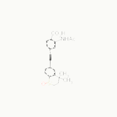 CC(=O)Nc1cc(C#Cc2ccc3c(c2)C(C)(C)CC[S+]3[O-])ccc1C(=O)O